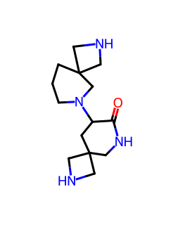 O=C1NCC2(CNC2)CC1N1CCCC2(CNC2)C1